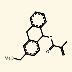 C=C(C)C(=O)OC1c2ccccc2Cc2cc(COC)ccc21